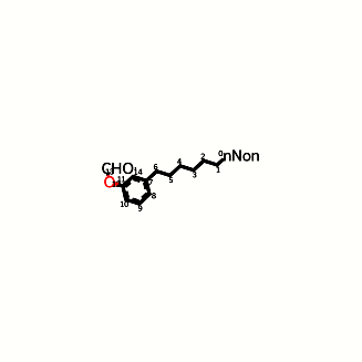 CCCCCCCCCCCCCCCc1cccc(O[C]=O)c1